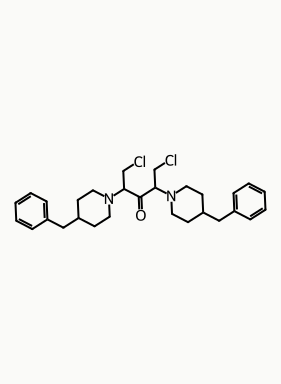 O=C(C(CCl)N1CCC(Cc2ccccc2)CC1)C(CCl)N1CCC(Cc2ccccc2)CC1